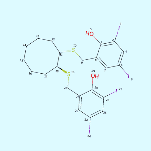 Oc1c(I)cc(I)cc1CS[C@H]1CCCCCC[C@@H]1SCc1cc(I)cc(I)c1O